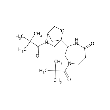 CC(C)(C)C(=O)N1CCC(=O)NC(C23CC(CO2)N(C(=O)C(C)(C)C)C3)C1